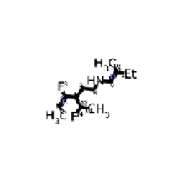 C/C=C(/F)C(CCN/C=C(\C)CC)C(C)F